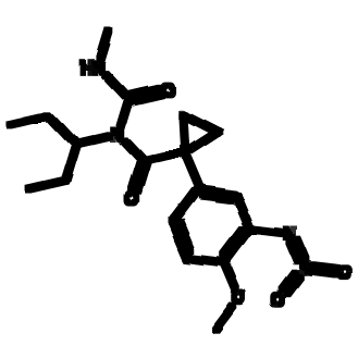 CCC(CC)N(C(=O)NC)C(=O)C1(c2ccc(OC)c(N=S(=O)=O)c2)CC1